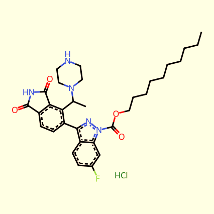 CCCCCCCCCCOC(=O)n1nc(-c2ccc3c(c2C(C)N2CCNCC2)C(=O)NC3=O)c2ccc(F)cc21.Cl